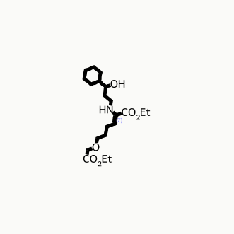 CCOC(=O)COCCC/C=C(\NCCC(O)C1CCCCC1)C(=O)OCC